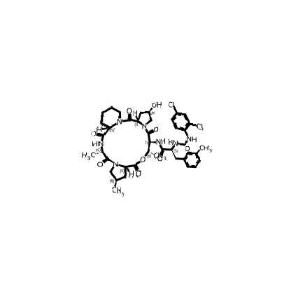 Cc1cccc(C[C@H](NC(=O)Nc2ccc(Cl)cc2Cl)C(=O)N[C@@H]2C(=O)N3C[C@H](O)C[C@H]3C(=O)N3CCCC[C@H]3C(=O)N[C@@H](C)C(=O)N3C[C@H](C)C[C@H]3C(=O)O[C@H]2C)c1